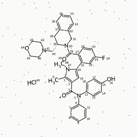 Cc1c(C(=O)N(c2ccccc2)c2ccc(O)cc2)cc(-c2cc(F)ccc2C(=O)N2Cc3ccccc3C[C@H]2CN2CCOCC2)n1C.Cl